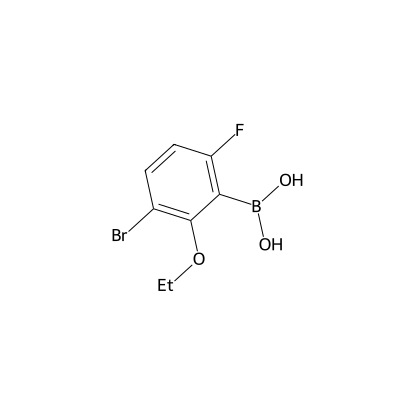 CCOc1c(Br)ccc(F)c1B(O)O